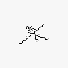 CCCCOC[C@@H](OS(C)(=O)=O)[C@H](OCCCC)[C@H](C=O)OCCCC